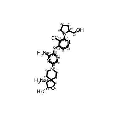 C[C@@H]1OCC2(CCN(c3cnc(Sc4ccnc(N5CCCC5CO)c4Cl)c(N)n3)CC2)[C@@H]1N